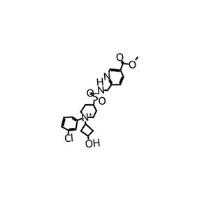 COC(=O)c1ccc(CNS(=O)(=O)C2CC[N+](c3cccc(Cl)c3)(C3CC(O)C3)CC2)nc1